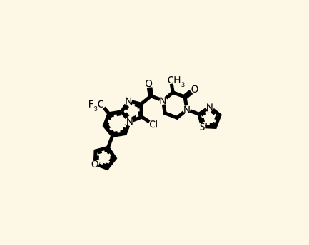 CC1C(=O)N(c2nccs2)CCN1C(=O)c1nc2c(C(F)(F)F)cc(-c3ccoc3)cn2c1Cl